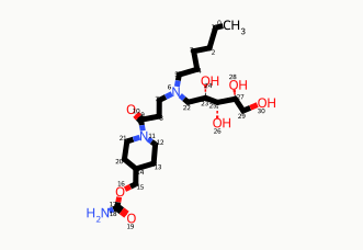 CCCCCCN(CCC(=O)N1CCC(COC(N)=O)CC1)C[C@H](O)[C@@H](O)[C@H](O)CO